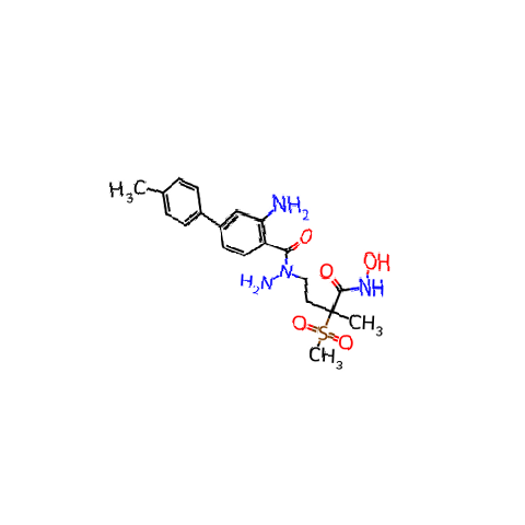 Cc1ccc(-c2ccc(C(=O)N(N)CCC(C)(C(=O)NO)S(C)(=O)=O)c(N)c2)cc1